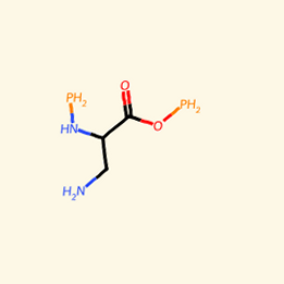 NCC(NP)C(=O)OP